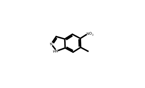 Cc1cc2[nH]ncc2cc1[N+](=O)[O-]